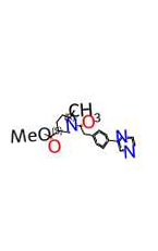 COC(=O)[C@H]1CC[C@@H](C)N(C(=O)Cc2ccc(-c3cnccn3)cc2)C1